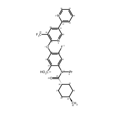 CC(C)N(c1cc(F)c(Oc2ncc(-c3ccccn3)cc2C(F)(F)F)cc1C(=O)O)C(=O)[C@H]1CC[C@H](C)CC1